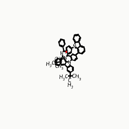 CC(C)(C)c1ccc2c(c1)c1cc(C(C)(C)C)ccc1n2-c1ccc(-c2cccc3c4ccccc4n(-c4ccccc4)c23)cc1-c1nc(-c2ccccc2)nc(-c2ccccc2)n1